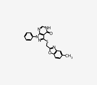 Cc1ccc2oc(CSc3nn(-c4ccccc4)c4nc[nH]c(=O)c34)nc2c1